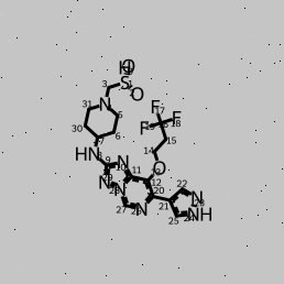 O=[SH](=O)CN1CCC(Nc2nc3c(OCCC(F)(F)F)c(-c4cn[nH]c4)ncn3n2)CC1